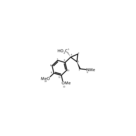 CNC[C@@H]1C[C@]1(C(=O)O)c1ccc(OC)c(OC)c1